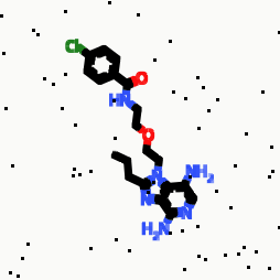 CCCc1nc2c(N)ncc(N)c2n1CCOCCNC(=O)c1ccc(Cl)cc1